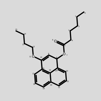 CCCCCC(=O)OC1C=C(OCCCC)c2cccc3cccc1c23